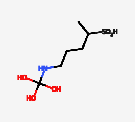 CC(CCCNC(O)(O)O)S(=O)(=O)O